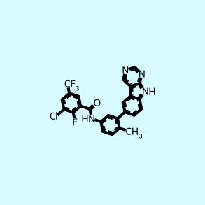 Cc1ccc(NC(=O)c2cc(C(F)(F)F)cc(Cl)c2F)cc1-c1ccc2[nH]c3ncncc3c2c1